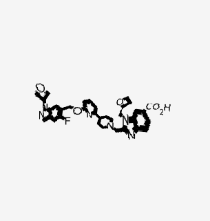 O=C(O)c1ccc2nc(CN3CCC(c4cccc(OCc5cc6c(cnn6C6COC6)cc5F)n4)CC3)n(C[C@@H]3CCO3)c2c1